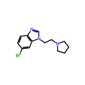 Brc1ccc2ncn(CCN3CCCC3)c2c1